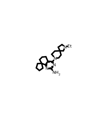 CCN1CCC2(CCN(c3nc(N)nc4c3CCCC43CCCC3)CC2)C1